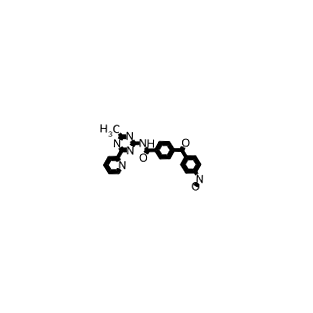 Cc1nc(NC(=O)c2ccc(C(=O)c3ccc(N=O)cc3)cc2)nc(-c2ccccn2)n1